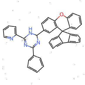 c1ccc(C2=NC(c3ccc4c(c3)C3(c5ccccc5O4)c4ccccc4-c4ccccc43)NC(c3ccccn3)=N2)cc1